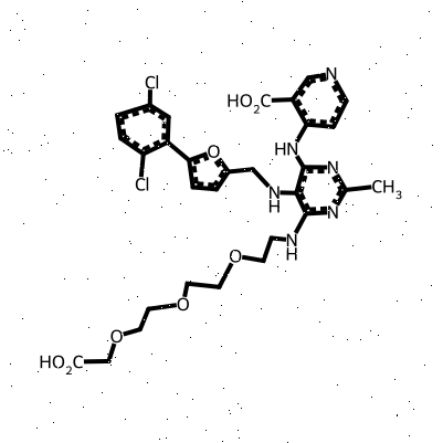 Cc1nc(NCCOCCOCCOCC(=O)O)c(NCc2ccc(-c3cc(Cl)ccc3Cl)o2)c(Nc2ccncc2C(=O)O)n1